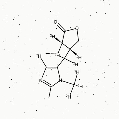 [2H]c1nc(C)n(C([2H])([2H])[2H])c1C([2H])([2H])[C@@]1([2H])COC(=O)[C@@]1([2H])CC